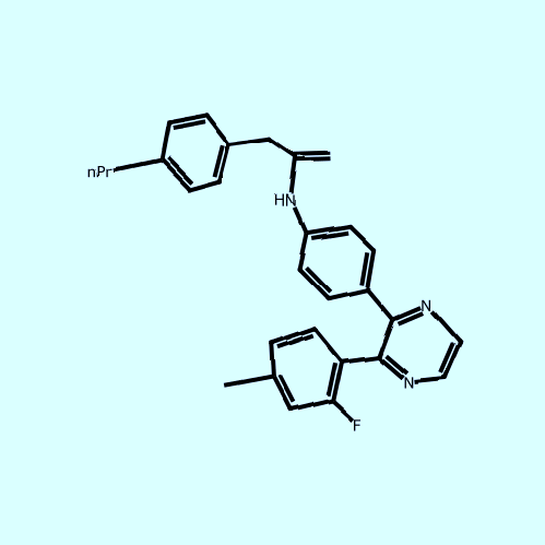 C=C(Cc1ccc(CCC)cc1)Nc1ccc(-c2nccnc2-c2ccc(C)cc2F)cc1